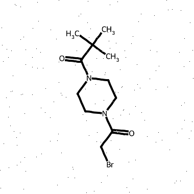 CC(C)(C)C(=O)N1CCN(C(=O)CBr)CC1